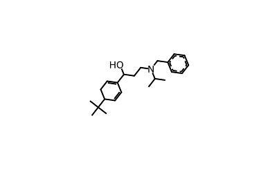 CC(C)N(CCC(O)C1=CCC(C(C)(C)C)C=C1)Cc1ccccc1